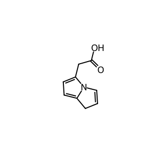 O=C(O)Cc1ccc2n1C=CC2